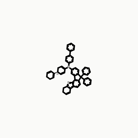 C1=CC([C@@H]2C=CC(N(c3ccc(-c4ccccc4)cc3)c3ccc4c(c3)-c3c(ccc5c6c(sc35)CCC=C6)C4(c3ccccc3)c3ccccc3)=CC2)=CCC1